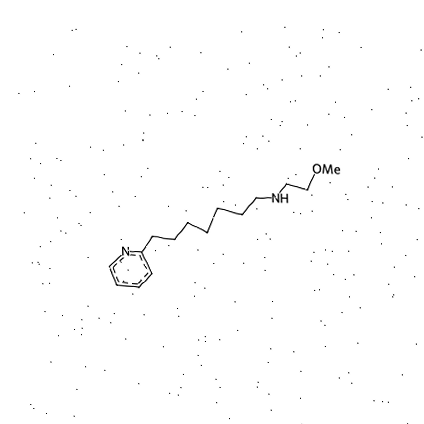 COCCNCCCCCCCc1ccccn1